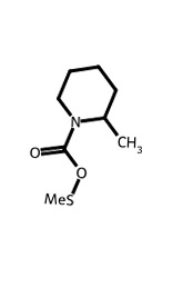 CSOC(=O)N1CCCCC1C